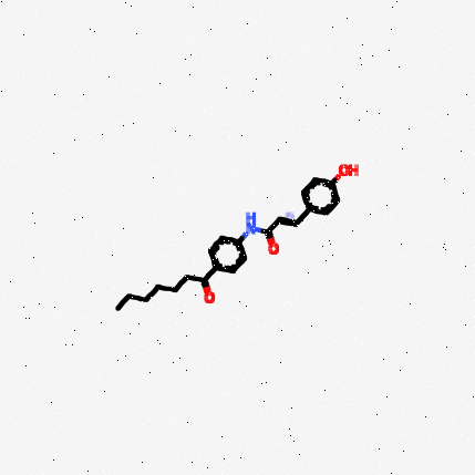 CCCCCCC(=O)c1ccc(NC(=O)/C=C/c2ccc(O)cc2)cc1